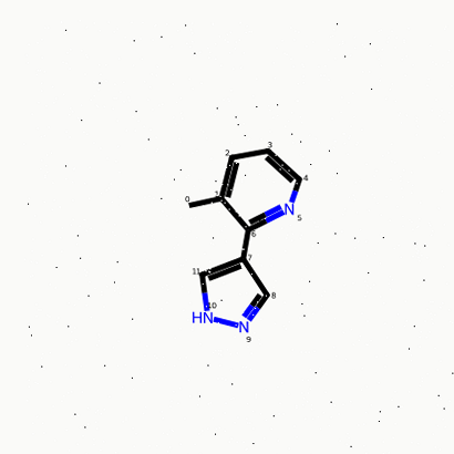 Cc1cccnc1-c1cn[nH]c1